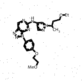 CCOCCC(C)n1cc(Nc2ncc3nnn(-c4ccc(OCCOC)cc4)c3n2)cn1